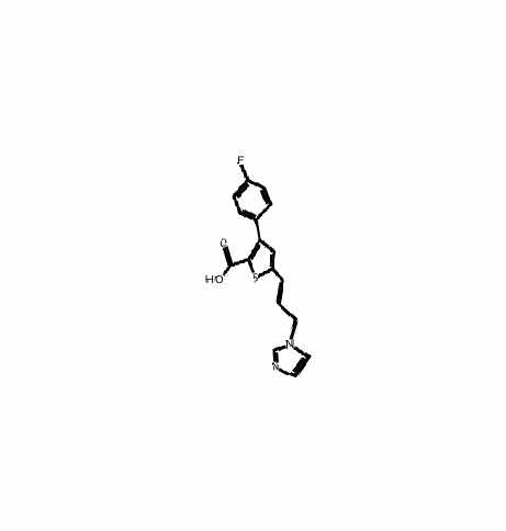 O=C(O)c1sc(C=CCn2ccnc2)cc1-c1ccc(F)cc1